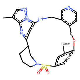 COc1cc2ccc1OCc1ccncc1CNc1cc(nc3c(C)cnn13)C1CCCN(C1)S2(=O)=O